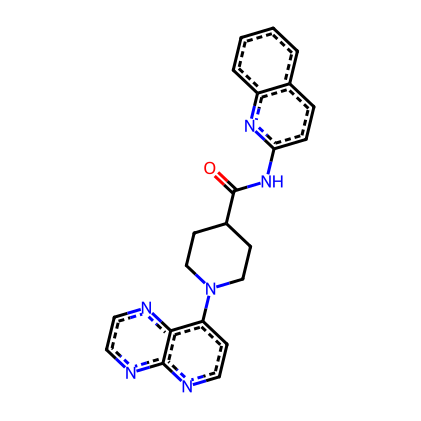 O=C(Nc1ccc2ccccc2n1)C1CCN(c2ccnc3nccnc23)CC1